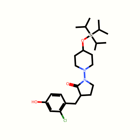 CC(C)[Si](OC1CCN(N2CCC(Cc3ccc(O)cc3Cl)C2=O)CC1)(C(C)C)C(C)C